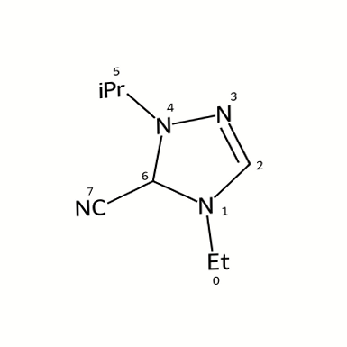 CCN1C=NN(C(C)C)C1C#N